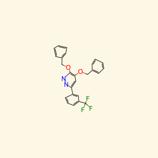 FC(F)(F)c1cccc(-c2cc(OCc3ccccc3)c(OCc3ccccc3)nn2)c1